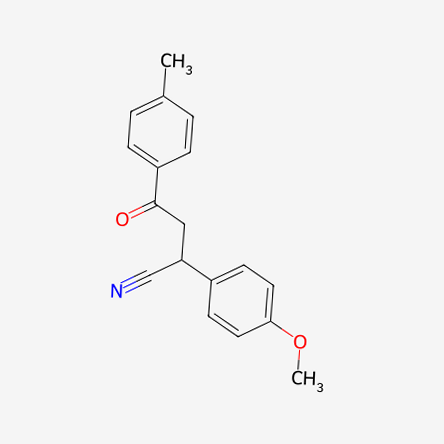 COc1ccc(C(C#N)CC(=O)c2ccc(C)cc2)cc1